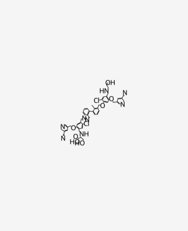 Cc1c(COc2cc(OCc3cncc(C#N)c3)c(CNCCO)cc2Cl)cccc1-c1cccc2c1cnn2Cc1cc(OCc2cncc(C#N)c2)c(CNC(CO)C(=O)O)cc1Cl